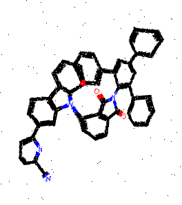 N#Cc1cccc(-c2ccc3c(c2)N(c2cccc4c2C(=O)N(c2c(-c5ccccc5)cc(-c5ccccc5)cc2-c2ccccc2)C4=O)C2C=CC=CC32)n1